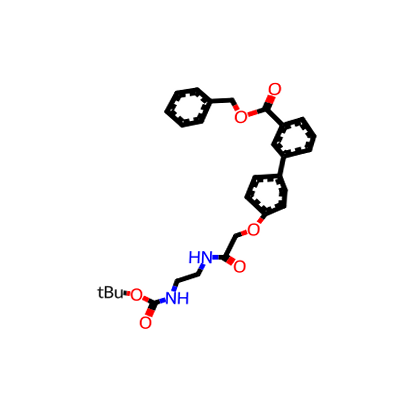 CC(C)(C)OC(=O)NCCNC(=O)COc1ccc(-c2cccc(C(=O)OCc3ccccc3)c2)cc1